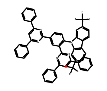 FC(F)(F)c1ccc2c3ccc(C(F)(F)F)cc3n(-c3ccc(-c4nc(-c5ccccc5)cc(-c5ccccc5)n4)cc3-c3nc(-c4ccccc4)cc(-c4ccccc4)n3)c2c1